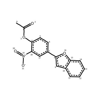 CC(=O)Oc1ccc(-c2cc3ccccc3o2)cc1[N+](=O)[O-]